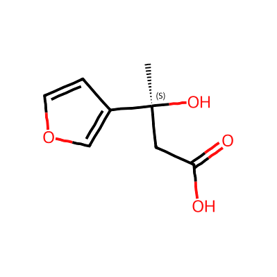 C[C@](O)(CC(=O)O)c1ccoc1